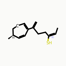 C=C(CC/C(S)=C\C)C1=CCC[C@H](C)C=C1